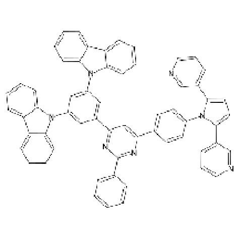 c1ccc(-c2nc(-c3ccc(-n4c(-c5cccnc5)ccc4-c4cccnc4)cc3)cc(-c3cc(-n4c5ccccc5c5ccccc54)cc(-n4c5ccccc5c5ccccc54)c3)n2)cc1